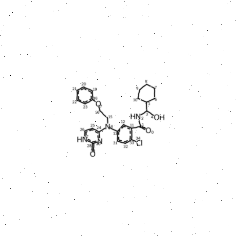 O=C(NC(O)C1CCCCC1)c1cc(N(CCOc2ccccc2)c2cc[nH]c(=O)n2)ccc1Cl